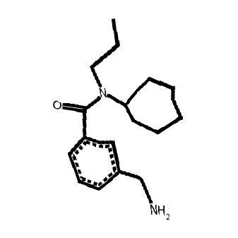 CCCN(C(=O)c1cccc(CN)c1)C1CCCCC1